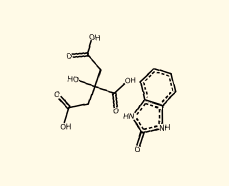 O=C(O)CC(O)(CC(=O)O)C(=O)O.O=c1[nH]c2ccccc2[nH]1